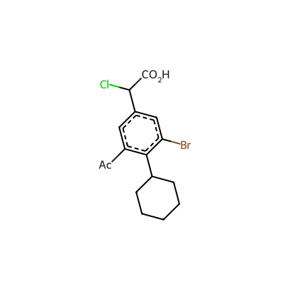 CC(=O)c1cc(C(Cl)C(=O)O)cc(Br)c1C1CCCCC1